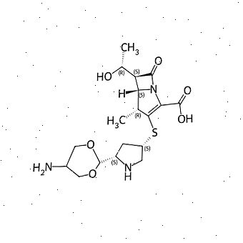 C[C@@H](O)[C@H]1C(=O)N2C(C(=O)O)=C(S[C@@H]3CN[C@H](C4OCC(N)CO4)C3)[C@H](C)[C@H]12